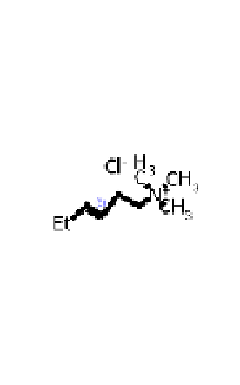 CC/C=C/CC[N+](C)(C)C.[Cl-]